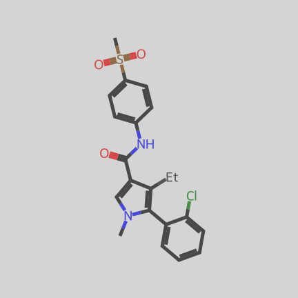 CCc1c(C(=O)Nc2ccc(S(C)(=O)=O)cc2)cn(C)c1-c1ccccc1Cl